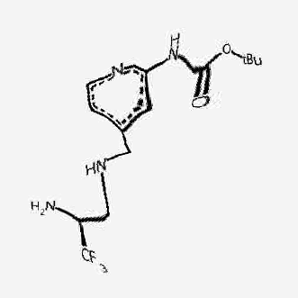 CC(C)(C)OC(=O)Nc1cc(CNC[C@H](N)C(F)(F)F)ccn1